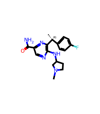 C[C@H](c1ccc(F)cc1)c1nc(C(N)=O)cnc1NC1CCN(C)C1